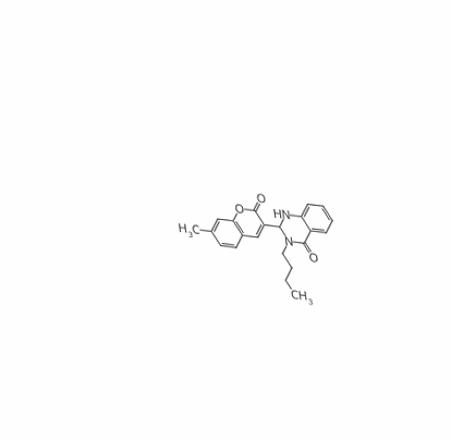 CCCCN1C(=O)c2ccccc2NC1c1cc2ccc(C)cc2oc1=O